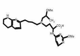 COc1nccc(NC(CCN(CCCCc2ccc3c(n2)NCCC3)CC(C)OC)C(=O)O)n1